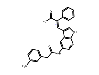 Nc1cccc(CC(=O)Nc2cnc3[nH]cc(/C=C(/C(=O)O)c4ccccc4)c3c2)c1